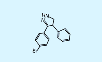 Brc1ccc(C2=NNCC2c2ccccc2)cc1